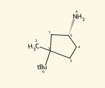 CC(C)(C)C1(C)CC[C@@H](N)C1